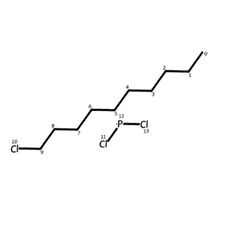 CCCCCCCCCCCl.Cl[P]Cl